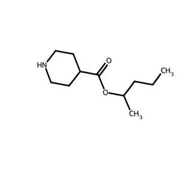 CCCC(C)OC(=O)C1CCNCC1